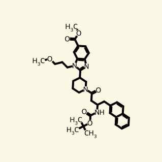 COCCCn1c(C2CCCN(C(=O)CC(Cc3ccc4ccccc4c3)NC(=O)OC(C)(C)C)C2)nc2ccc(C(=O)OC)cc21